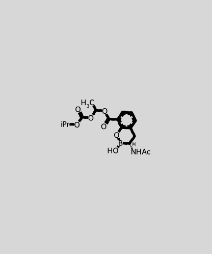 CC(=O)N[C@H]1Cc2cccc(C(=O)OC(C)OC(=O)OC(C)C)c2OB1O